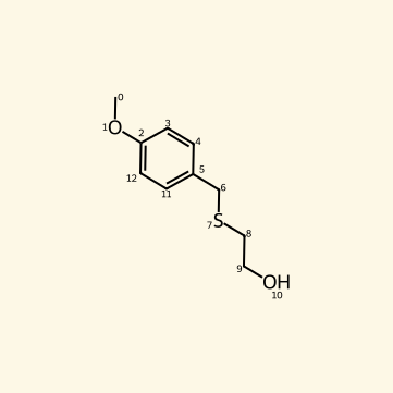 COc1ccc(CSCCO)cc1